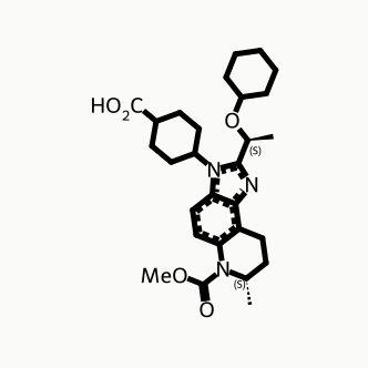 COC(=O)N1c2ccc3c(nc([C@H](C)OC4CCCCC4)n3C3CCC(C(=O)O)CC3)c2CC[C@@H]1C